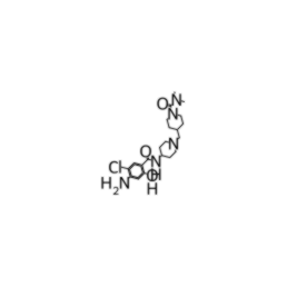 CN(C)C(=O)N1CCC(CN2CCC(NC(=O)c3cc(Cl)c(N)cc3O)CC2)CC1